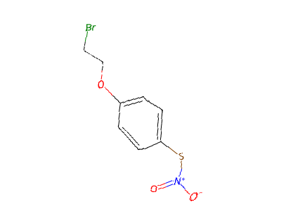 O=[N+]([O-])Sc1ccc(OCCBr)cc1